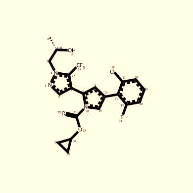 C[C@H](O)Cn1ncc(-c2cc(-c3c(F)cccc3Cl)cn2C(=O)OC2CC2)c1C(F)(F)F